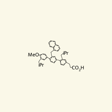 COc1ccc(-c2ccc(-c3ccc(CCC(=O)O)cc3CC(C)C)cc2Cc2cccc3ccccc23)cc1CC(C)C